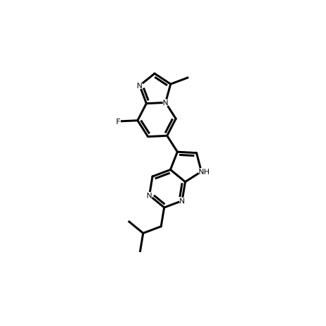 Cc1cnc2c(F)cc(-c3c[nH]c4nc(CC(C)C)ncc34)cn12